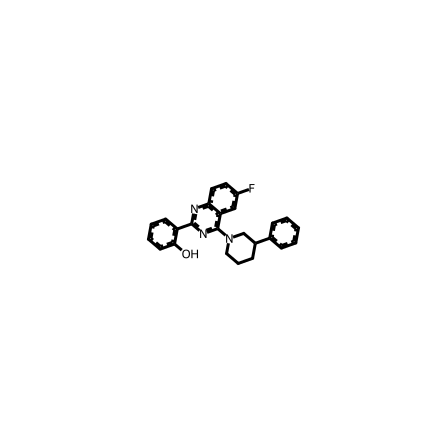 Oc1ccccc1-c1nc(N2CCCC(c3ccccc3)C2)c2cc(F)ccc2n1